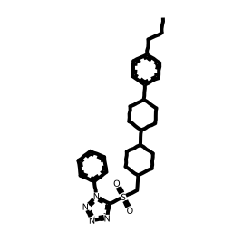 CCCc1ccc(C2CCC(C3CCC(CS(=O)(=O)c4nnnn4-c4ccccc4)CC3)CC2)cc1